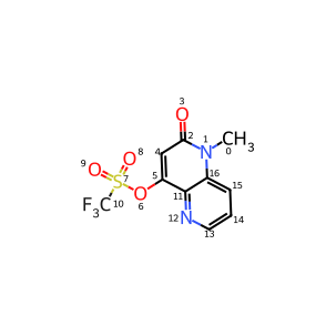 Cn1c(=O)cc(OS(=O)(=O)C(F)(F)F)c2ncccc21